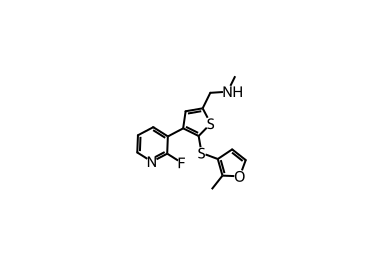 CNCc1cc(-c2cccnc2F)c(Sc2ccoc2C)s1